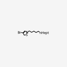 CCCCCCCCCCCCN1C=C(Br)CS1